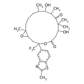 Cc1nc2cc(C3(C(F)(F)F)CC4OC4(C)CCCC(C)C(O)C(C)C(=O)C(C)(C)C(O)CC(=O)O3)ccc2s1